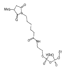 CCOP(=O)(O)OP(=O)(O)OCCNC(=O)CCCCCN1C(=O)CC(SC)C1=O